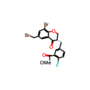 COC(=O)c1cc(C[C@H]2COc3c(Br)cc(CBr)cc3C2=O)ccc1F